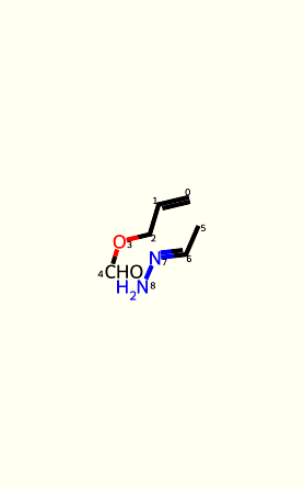 C=CCOC=O.CC=NN